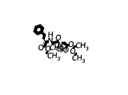 CCOC(=O)[C@H](CCc1ccccc1)N[C@@H](C)C(=O)N(O)CC(=O)OC(C)OCC